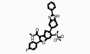 CNC(=O)c1c(-c2ccc(F)cc2)oc2cc(N(C)S(C)(=O)=O)c(-c3ccc4[nH]c(-c5ccccc5)nc4c3)cc12